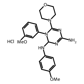 COc1ccc(NC2N=C(N)N=C(N3CCOCC3)N2c2cccc(OC)c2)cc1.Cl